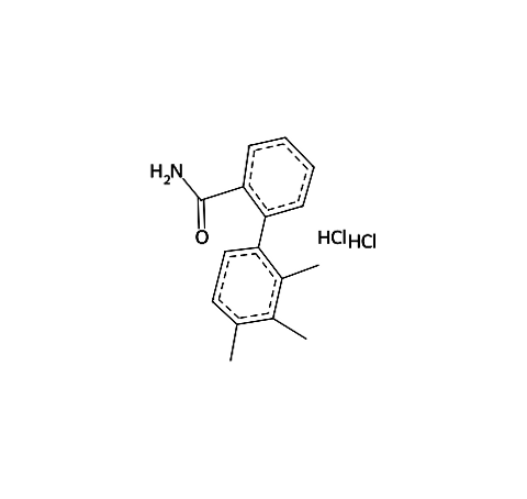 Cc1ccc(-c2ccccc2C(N)=O)c(C)c1C.Cl.Cl